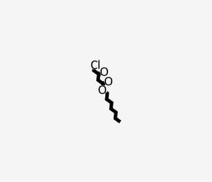 CCCCCCCOC(=O)CC(=O)CCl